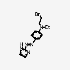 CCN(CCBr)c1ccc(/N=N/c2ncc[nH]2)cc1